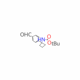 CC(C)(C)OC(=O)NC1(c2ccc(C=O)cc2)CCC1